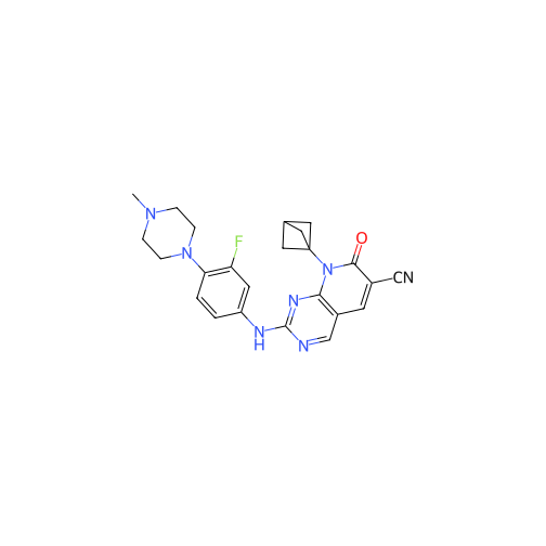 CN1CCN(c2ccc(Nc3ncc4cc(C#N)c(=O)n(C56CC(C5)C6)c4n3)cc2F)CC1